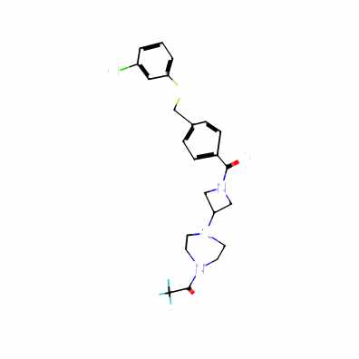 O=C(c1ccc(CSc2cccc(Cl)c2)cc1)N1CC(N2CCN(C(=O)C(F)(F)F)CC2)C1